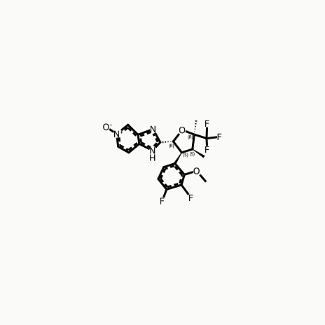 COc1c([C@H]2[C@H](c3nc4c[n+]([O-])ccc4[nH]3)O[C@@](C)(C(F)(F)F)[C@H]2C)ccc(F)c1F